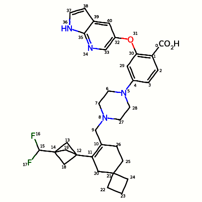 O=C(O)c1ccc(N2CCN(CC3=C(C45CC(C(F)F)(C4)C5)CC4(CCC4)CC3)CC2)cc1Oc1cnc2[nH]ccc2c1